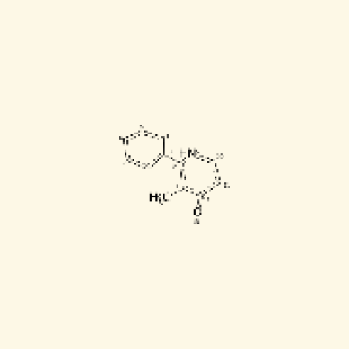 Cc1c(-c2ccccc2)[nH]ccc1=O